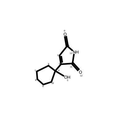 O=C1C=C(C2(O)CCCCC2)C(=O)N1